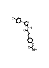 CCCC(=O)Oc1ccc(C=CC(=O)Nc2nc(-c3ccc(Cl)cc3)cs2)cc1